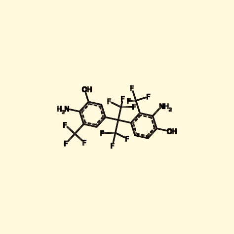 Nc1c(O)cc(C(c2ccc(O)c(N)c2C(F)(F)F)(C(F)(F)F)C(F)(F)F)cc1C(F)(F)F